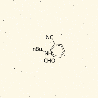 CCCCNC=O.N#Cc1ccccc1